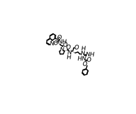 N=C(NCCC[C@@H](C=O)NC(=O)[C@@H]1CCCN1C(=O)CNS(=O)(=O)c1cccc2cccnc12)NC(=O)OCc1ccccc1